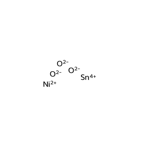 [Ni+2].[O-2].[O-2].[O-2].[Sn+4]